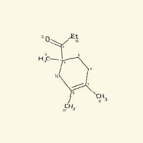 CCC(=O)C1(C)CCC(C)=C(C)C1